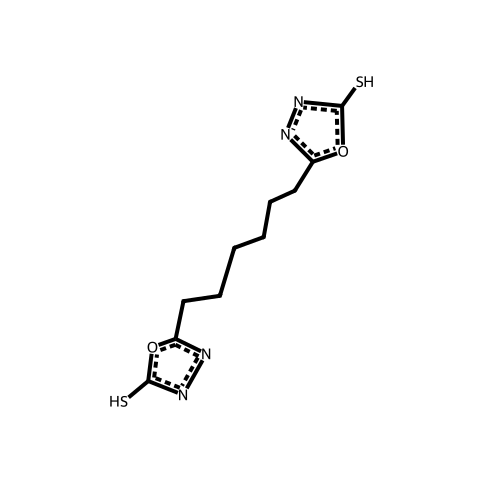 Sc1nnc(CCCCCCc2nnc(S)o2)o1